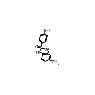 Cc1ccc(NS(=O)(=O)c2ccc(C(C)(C)C)cc2)c(F)c1